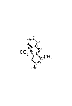 Cc1cc(Br)ccc1Sc1ccccc1C(=O)O